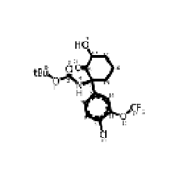 CC(C)(C)OC(=O)NC1(c2ccc(Cl)c(OC(F)(F)F)c2)CCCC(O)C1=O